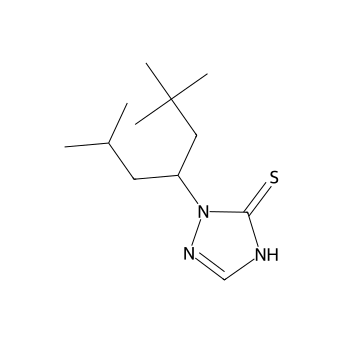 CC(C)CC(CC(C)(C)C)n1nc[nH]c1=S